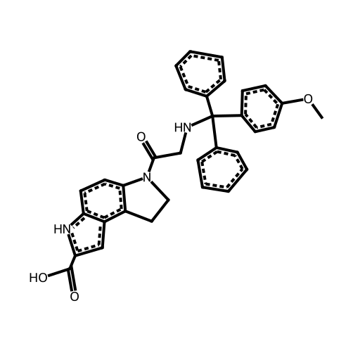 COc1ccc(C(NCC(=O)N2CCc3c2ccc2[nH]c(C(=O)O)cc32)(c2ccccc2)c2ccccc2)cc1